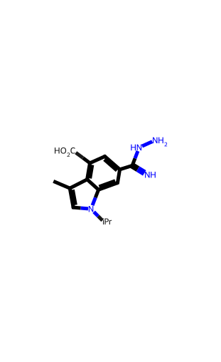 Cc1cn(C(C)C)c2cc(C(=N)NN)cc(C(=O)O)c12